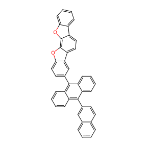 c1ccc2cc(-c3c4ccccc4c(-c4ccc5oc6c(ccc7c8ccccc8oc76)c5c4)c4ccccc34)ccc2c1